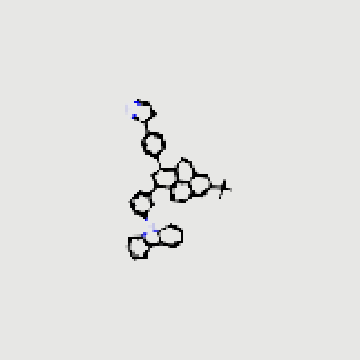 CC(C)(C)C1=Cc2ccc3c4c2C(C=CC4=C(c2ccc(-c4cccnc4)cc2)CC3c2cccc(N3c4ccccc4C4C=CC=CC43)c2)C1